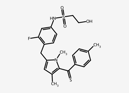 Cc1ccc(C(=S)c2c(C)cc(Cc3ccc(NS(=O)(=O)CCO)cc3F)n2C)cc1